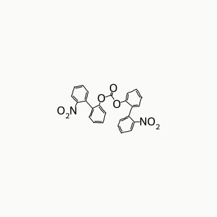 O=C(Oc1ccccc1-c1ccccc1[N+](=O)[O-])Oc1ccccc1-c1ccccc1[N+](=O)[O-]